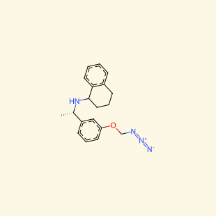 C[C@H](NC1CCCc2ccccc21)c1cccc(OCN=[N+]=[N-])c1